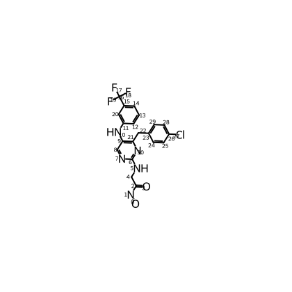 O=NC(=O)CNc1ncc(Nc2cccc(C(F)(F)F)c2)c(Cc2ccc(Cl)cc2)n1